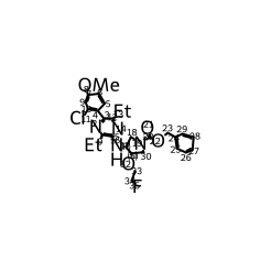 CCc1nc(-c2ccc(OC)cc2Cl)c(CC)nc1N[C@@H]1CN(C(=O)OCc2ccccc2)C[C@@H]1OCCF